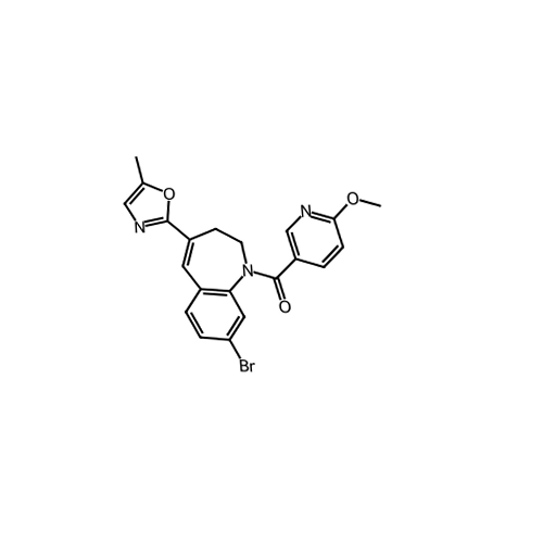 COc1ccc(C(=O)N2CCC(c3ncc(C)o3)=Cc3ccc(Br)cc32)cn1